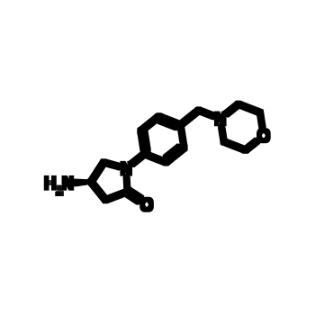 N[C@@H]1CC(=O)N(c2ccc(CN3CCOCC3)cc2)C1